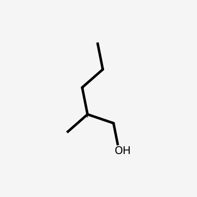 CCC[C](C)CO